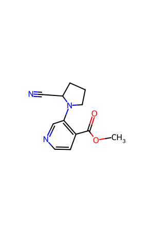 COC(=O)c1ccncc1N1CCCC1C#N